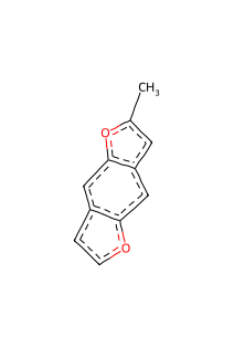 Cc1cc2cc3occc3cc2o1